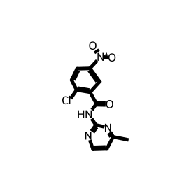 Cc1ccnc(NC(=O)c2cc([N+](=O)[O-])ccc2Cl)n1